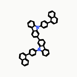 c1ccc2c(-c3ccc(-n4c5ccccc5c5ccc(-c6ccc7c8ccccc8n(-c8ccc(-c9cccc%10ccccc9%10)cc8)c7c6)cc54)cc3)cccc2c1